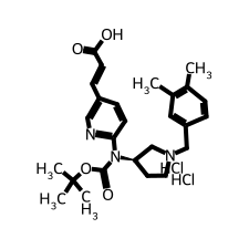 Cc1ccc(CN2CC[C@@H](N(C(=O)OC(C)(C)C)c3ccc(C=CC(=O)O)cn3)C2)cc1C.Cl.Cl